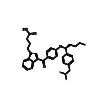 CCCC[C@H](Oc1ccc(C(=O)c2cn(CCCC(=O)O)c3ccccc23)cc1)c1ccc(CC(C)C)cc1